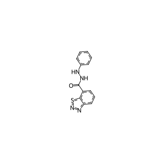 O=C(NNc1ccccc1)c1cccc2nnsc12